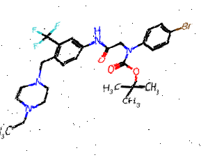 CCN1CCN(Cc2ccc(NC(=O)CN(C(=O)OC(C)(C)C)c3ccc(Br)cc3)cc2C(F)(F)F)CC1